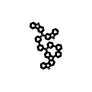 c1ccc(-c2cccc(N(c3cccc(-c4cccc(N(c5ccc6sc7ccccc7c6c5)c5ccc6sc7ccccc7c6c5)c4)c3)c3ccc4c5c6c(ccc5n(-c5ccccc5)c4c3)sc3ccccc36)c2)cc1